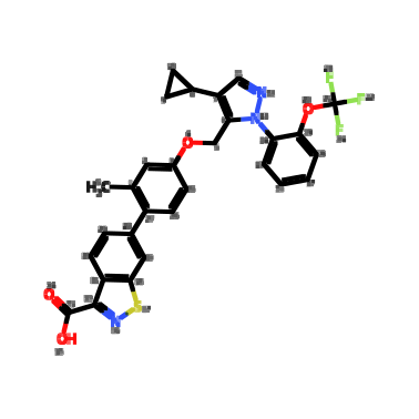 Cc1cc(OCc2c(C3CC3)cnn2-c2ccccc2OC(F)(F)F)ccc1-c1ccc2c(C(=O)O)nsc2c1